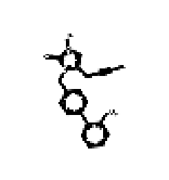 CC#CCc1cn(C(C)C)c(=O)n1Cc1ccc(-c2ccccc2C(=O)O)cc1